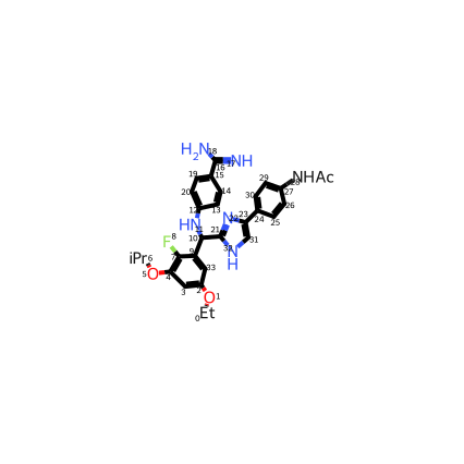 CCOc1cc(OC(C)C)c(F)c(C(Nc2ccc(C(=N)N)cc2)c2nc(-c3ccc(NC(C)=O)cc3)c[nH]2)c1